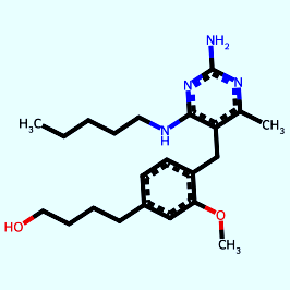 CCCCCNc1nc(N)nc(C)c1Cc1ccc(CCCCO)cc1OC